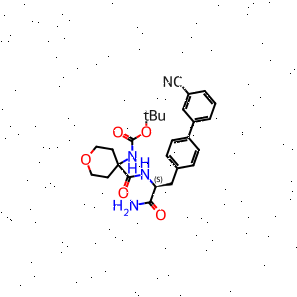 CC(C)(C)OC(=O)NC1(C(=O)N[C@@H](Cc2ccc(-c3cccc(C#N)c3)cc2)C(N)=O)CCOCC1